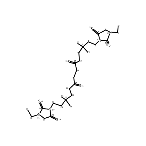 CCN1CC(=S)N(CCC(C)(C)CCC(=S)CCC(=S)CCC(C)(C)CCN2C(=S)CN(CC)C2=S)C1=S